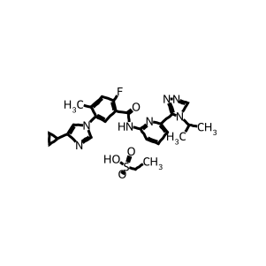 CCS(=O)(=O)O.Cc1cc(F)c(C(=O)Nc2cccc(-c3nncn3C(C)C)n2)cc1-n1cnc(C2CC2)c1